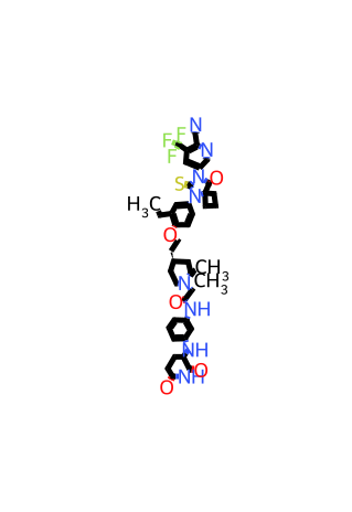 CCc1cc(N2C(=S)N(c3cnc(C#N)c(C(F)(F)F)c3)C(=O)C23CCC3)ccc1OCC[C@H]1CCN(CC(=O)Nc2cccc(NC3CCC(=O)NC3=O)c2)C(C)(C)C1